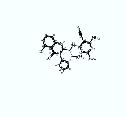 CC[C@@H](Nc1nc(N)nc(N)c1C#N)c1nc2cccc(Cl)c2c(=O)n1-c1cc[nH]n1